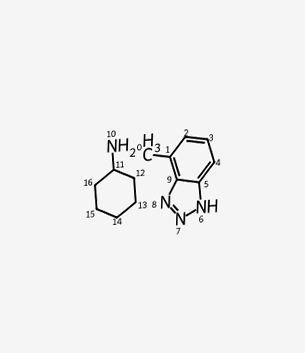 Cc1cccc2[nH]nnc12.NC1CCCCC1